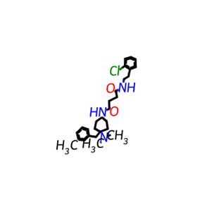 Cc1cccc(CC2(N(C)C)CCC(NC(=O)CCC(=O)NCCc3ccccc3Cl)CC2)c1